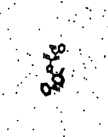 Cc1cnc(Nc2ccccc2)cc1-n1ccc(C(O)NC(CO)c2ccccc2)c1